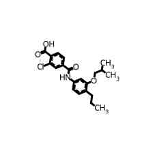 CCCc1ccc(NC(=O)c2ccc(C(=O)O)c(Cl)c2)cc1OCC(C)C